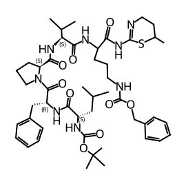 CC(C)C[C@H](NC(=O)OC(C)(C)C)C(=O)N[C@H](Cc1ccccc1)C(=O)N1CCC[C@H]1C(=O)N[C@H](C(=O)NC(CCCNC(=O)OCc1ccccc1)C(=O)NC1=NCCC(C)S1)C(C)C